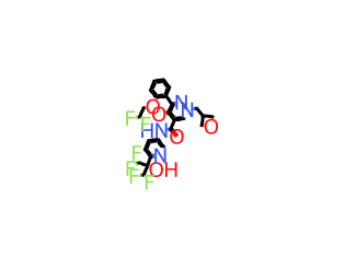 O=C(Nc1ccc(C(O)(C(F)F)C(F)F)nc1)c1cn(CC2COC2)nc(-c2ccccc2OCC(F)F)c1=O